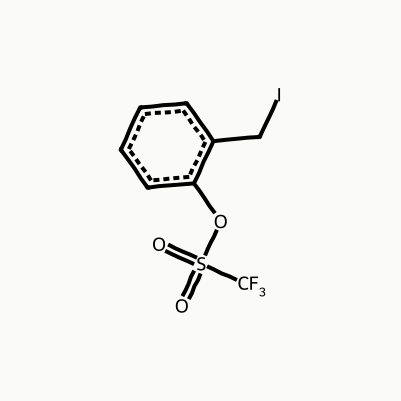 O=S(=O)(Oc1ccccc1CI)C(F)(F)F